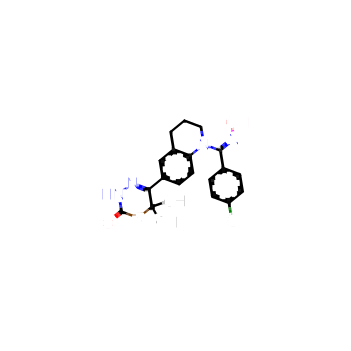 CC1(C)SC(=O)NN=C1c1ccc2c(c1)CCCN2/C(=N\O)c1ccc(Cl)cc1